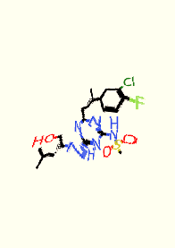 CC(C)C[C@H](CO)Nc1nc(C[C@@H](C)c2ccc(F)c(Cl)c2)nc(NS(C)(=O)=O)n1